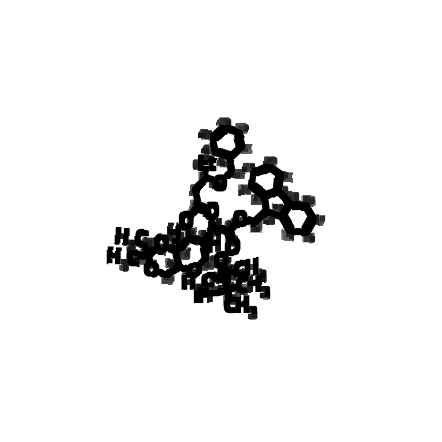 CC[C@H](CC(=O)O[C@@H]1C(NC(=O)OCC2c3ccccc3-c3ccccc32)[C@H](O[Si](C)(C)C(C)(C)C(C)C)OC2COC(C)(C)O[C@H]21)OCc1ccccc1